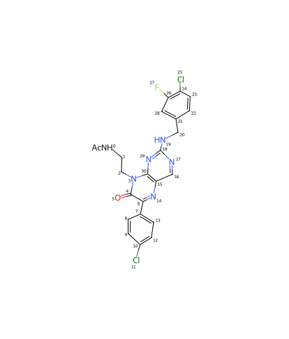 CC(=O)NCCn1c(=O)c(-c2ccc(Cl)cc2)nc2cnc(NCc3ccc(Cl)c(F)c3)nc21